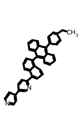 CCc1ccc(-c2c3ccccc3c(-c3cccc4c(-c5ccc(-c6ccncc6)cn5)cccc34)c3ccccc23)cc1